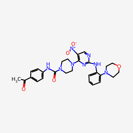 CC(=O)c1ccc(NC(=O)N2CCN(c3nc(Nc4ccccc4N4CCOCC4)ncc3[N+](=O)[O-])CC2)cc1